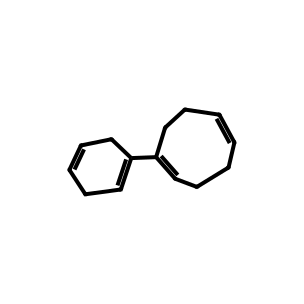 C1=CCC(C2=CCCC=CCC2)=CC1